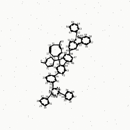 CC1=CCC(C2(/C3=C/C=C(/C)CC#CC3)c3cc(-c4cccc(-c5nc(-c6ccccc6)nc(-c6ccccc6)n5)c4)ccc3-c3ccc(-c4ccc5c(c4)c4ccccc4n5-c4ccccc4)cc32)C=C1